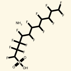 N.O=S(=O)(O)C(F)C(F)(F)C(F)(F)C(F)C(F)C(F)C(F)C(F)C(F)C(F)C(F)F